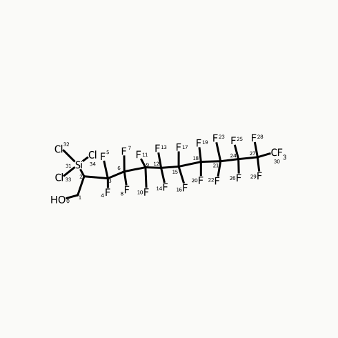 OCC(C(F)(F)C(F)(F)C(F)(F)C(F)(F)C(F)(F)C(F)(F)C(F)(F)C(F)(F)C(F)(F)C(F)(F)F)[Si](Cl)(Cl)Cl